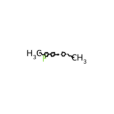 CCCCC[C@H]1CC[C@H](C#Cc2ccc(-c3ccc(CCC)c(F)c3)cc2)CC1